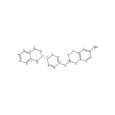 Oc1ccc2c(c1)CCN(CC1=CCC([C@H]3COc4ccccc4O3)C=C1)C2